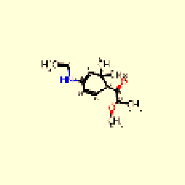 C=CNC1=CC(C)(C)C(C(=O)C(C)OC)C=C1